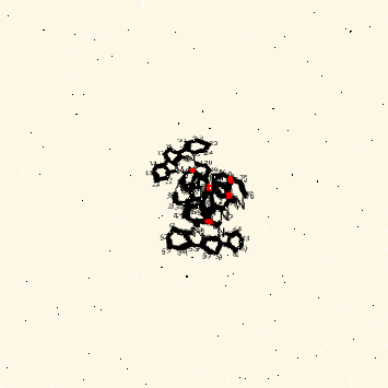 c1ccc(B(c2ccc(-n3c4ccccc4c4ccc5c6ccccc6n(-c6ccc7ccc8cccnc8c7n6)c5c43)cc2)c2ccc(-n3c4ccccc4c4ccc5c6ccccc6n(-c6ccc7ccc8cccnc8c7n6)c5c43)cc2)cc1